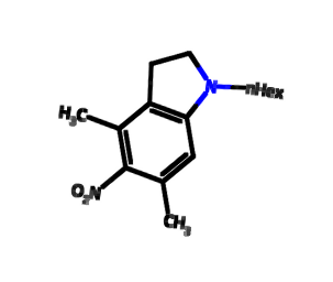 CCCCCCN1CCc2c1cc(C)c([N+](=O)[O-])c2C